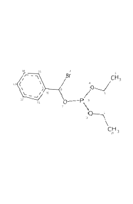 CCOP(OCC)OC(Br)c1ccccc1